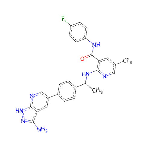 C[C@@H](Nc1ncc(C(F)(F)F)cc1C(=O)Nc1ccc(F)cc1)c1ccc(-c2cnc3[nH]nc(N)c3c2)cc1